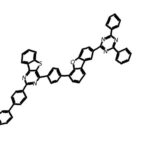 c1ccc(-c2ccc(-c3nc(-c4ccc(-c5cccc6c5oc5ccc(-c7nc(-c8ccccc8)nc(-c8ccccc8)n7)cc56)cc4)c4sc5ccccc5c4n3)cc2)cc1